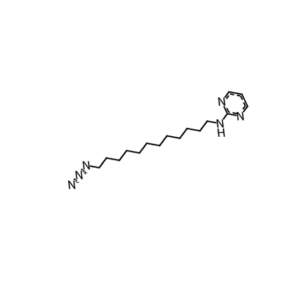 [N-]=[N+]=NCCCCCCCCCCCCNc1ncccn1